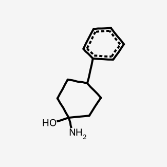 NC1(O)CCC(c2ccccc2)CC1